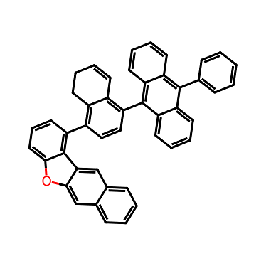 C1=Cc2c(-c3c4ccccc4c(-c4ccccc4)c4ccccc34)ccc(-c3cccc4oc5cc6ccccc6cc5c34)c2CC1